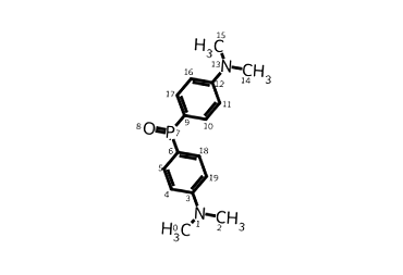 CN(C)c1ccc([P](=O)c2ccc(N(C)C)cc2)cc1